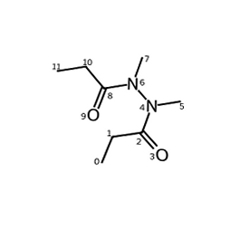 CCC(=O)N(C)N(C)C(=O)CC